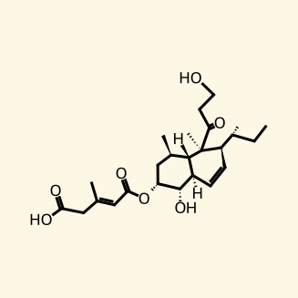 CC[C@@H](C)[C@H]1C=C[C@H]2[C@H](O)[C@H](OC(=O)/C=C(\C)CC(=O)O)C[C@@H](C)[C@@H]2[C@@]1(C)C(=O)CCO